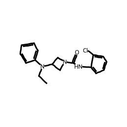 CCN(c1ccccc1)C1CN(C(=O)Nc2ccccc2Cl)C1